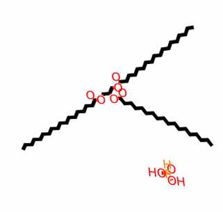 CCCCCCCCCCCCCCCCCC(=O)OCC(COC(=O)CCCCCCCCCCCCCCCCC)OC(=O)CCCCCCCCCCCCCCCCC.O=[PH](O)O